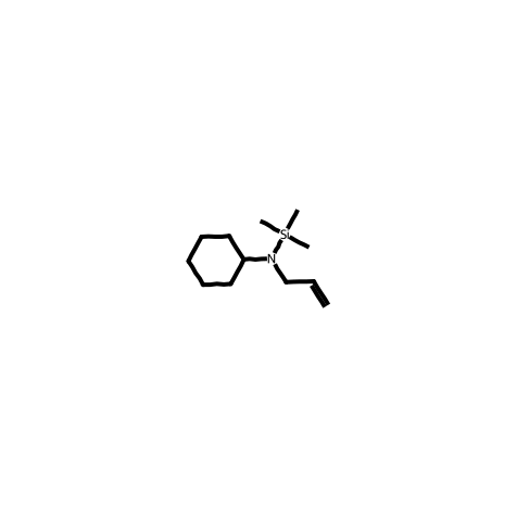 C=CCN(C1CCCCC1)[Si](C)(C)C